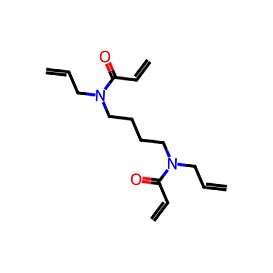 C=CCN(CCCCN(CC=C)C(=O)C=C)C(=O)C=C